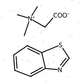 C[N+](C)(C)CC(=O)[O-].c1ccc2scnc2c1